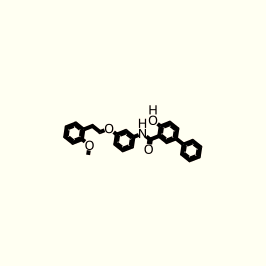 COc1ccccc1CCOc1cccc(NC(=O)c2cc(-c3ccccc3)ccc2O)c1